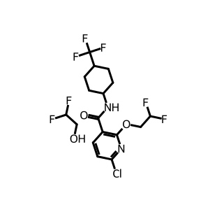 O=C(NC1CCC(C(F)(F)F)CC1)c1ccc(Cl)nc1OCC(F)F.OCC(F)F